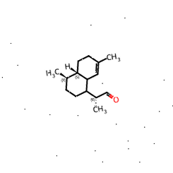 CC1=CC2C([C@@H](C)C=O)CC[C@@H](C)[C@@H]2CC1